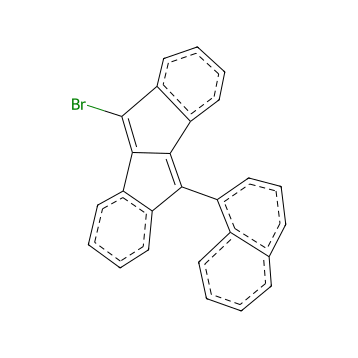 BrC1=C2C(=C(c3cccc4ccccc34)c3ccccc32)c2ccccc21